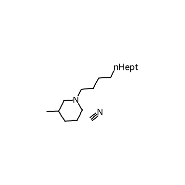 C#N.CCCCCCCCCCCN1CCCC(C)C1